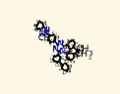 Cn1c(-c2ccc(-c3nc(-c4cccc(-c5ccccc5)c4)nc(-c4cccc5c4-c4ccccc4C5(C)C)n3)cc2)nc2ccccc21